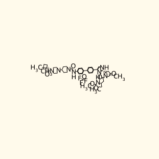 CCC(CC(=O)N1C[C@@H](OC)C[C@H]1c1nc(-c2ccc(-c3ccc(NC(=O)N4CCC(N5CCN(C(=O)[C@H]6CCC6(C)C)CC5)CC4)cc3OC(F)(F)F)cc2)c[nH]1)NC(=O)OC